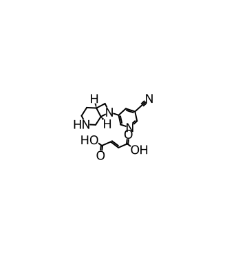 N#Cc1cncc(N2C[C@H]3CCNC[C@H]32)c1.O=C(O)/C=C/C(=O)O